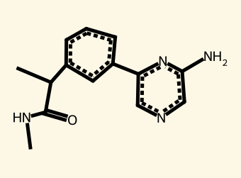 CNC(=O)C(C)c1cccc(-c2cncc(N)n2)c1